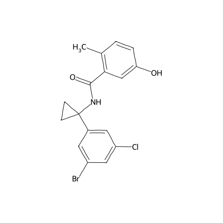 Cc1ccc(O)cc1C(=O)NC1(c2cc(Cl)cc(Br)c2)CC1